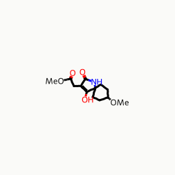 COC(=O)CC1=C(O)C2(CCC(OC)CC2)NC1=O